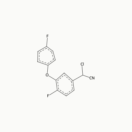 N#CC(Cl)c1ccc(F)c(Oc2ccc(F)cc2)c1